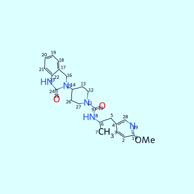 COc1ccc(CC(C)NC(=O)N2CCC(N3Cc4ccccc4NC3=O)CC2)cn1